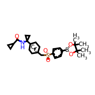 CC1(C)OB(c2ccc(S(=O)(=O)CC34CCC(C5(NC(=O)C6CC6)CC5)(CC3)CC4)cc2)OC1(C)C